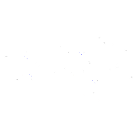 COC(=O)N=C(SC)C(=Nc1ccc(-c2noc(C)n2)cc1)c1cc(O)ccc1F